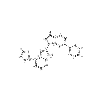 c1cc(-c2ccc3[nH]nc(-c4cc5c(-c6ccoc6)nccc5[nH]4)c3c2)ccn1